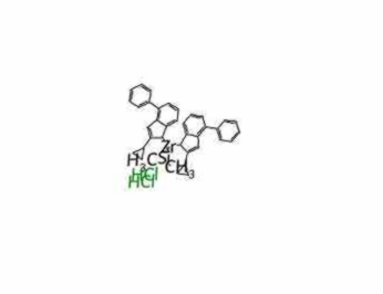 C[Si](C)=[Zr]([CH]1C(C2CC2)=Cc2c(-c3ccccc3)cccc21)[CH]1C(C2CC2)=Cc2c(-c3ccccc3)cccc21.Cl.Cl